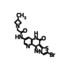 CC1CN(CC(=O)Nc2cnc3c(c2)[nH]c(=O)c2c3nn3cc(Br)sc23)C1